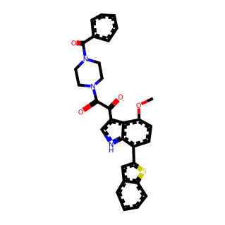 COc1ccc(-c2cc3ccccc3s2)c2[nH]cc(C(=O)C(=O)N3CCN(C(=O)c4ccccc4)CC3)c12